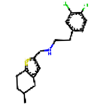 CC1CCc2sc(CNCCc3ccc(Cl)c(Cl)c3)cc2C1